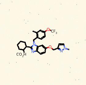 Cc1cc(OC(F)(F)F)ccc1Cn1c(C2CCCCC2C(=O)O)nc2ccc(OCc3ccn(C)n3)cc21